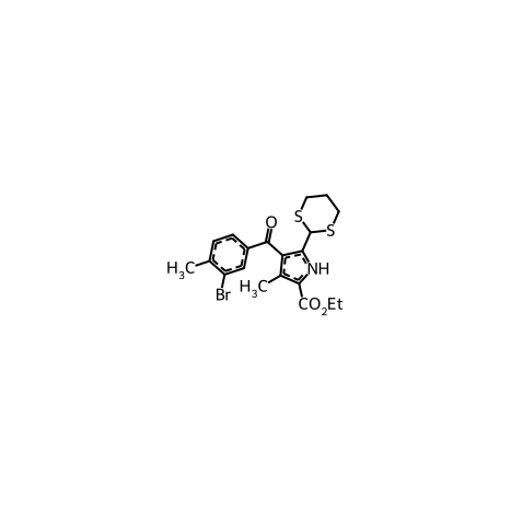 CCOC(=O)c1[nH]c(C2SCCCS2)c(C(=O)c2ccc(C)c(Br)c2)c1C